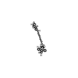 CO[C@@H]1[C@H](N(C)C(=O)CCOCCOCCOCCOCCNc2ccc3c(c2)C(=O)N(C2CCC(=O)NC2=O)C3=O)C[C@@]2(N)O[C@]1(C)n1c3ccccc3c3c4c(c5c6ccccc6n2c5c31)C(=O)NC4